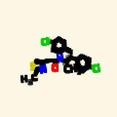 Cc1nc(CC(=O)N[C@H](C)[C@H](Cc2ccc(Cl)cc2)c2ccc(Cl)cc2)cs1